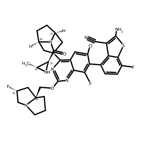 C[C@H]1N[C@@H]1C(=O)N1[C@@H]2CC[C@H]1CN(c1nc(OC[C@@]34CCCN3C[C@H](F)C4)nc3c(F)c(-c4ccc(F)c5sc(N)c(C#N)c45)c(Cl)cc13)C2